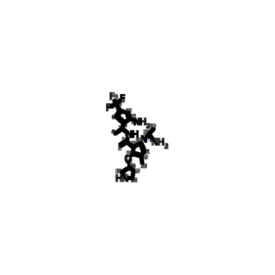 C=C(NC(C)C1=C=C(C(F)(F)F)C=C1N)C1C(/N=C(/C)N)=CC(C)=C1O[C@H]1CCNC1